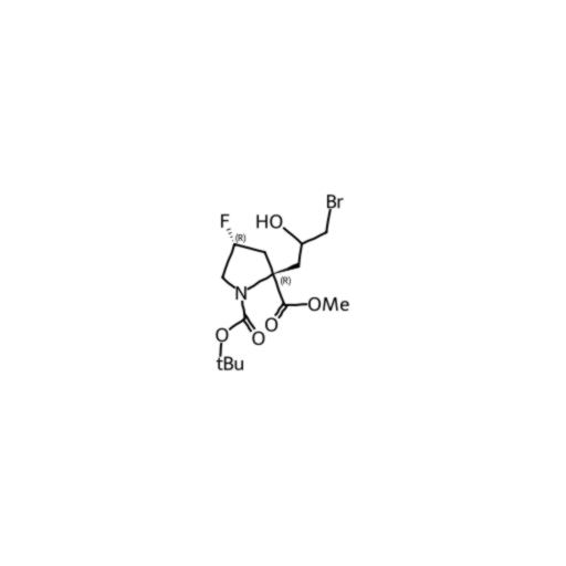 COC(=O)[C@@]1(CC(O)CBr)C[C@@H](F)CN1C(=O)OC(C)(C)C